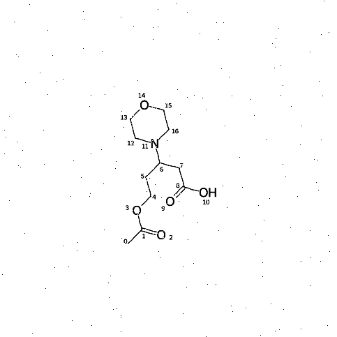 CC(=O)OCCC(CC(=O)O)N1CCOCC1